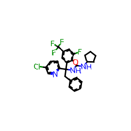 O=C(NC1CCCC1)NC(Cc1ccccc1)(c1cc(F)cc(C(F)(F)F)c1)c1ccc(Cl)cn1